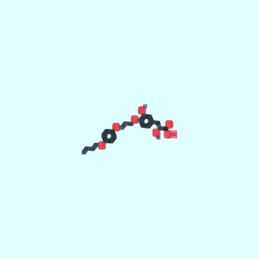 CCCCOc1ccc(OCCCOc2ccc(C[C@H](OC)C(=O)O)cc2OC)cc1